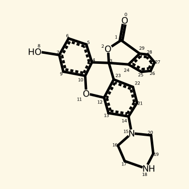 O=C1OC2(c3ccc(O)cc3Oc3cc(N4CCNCC4)ccc32)c2ccccc21